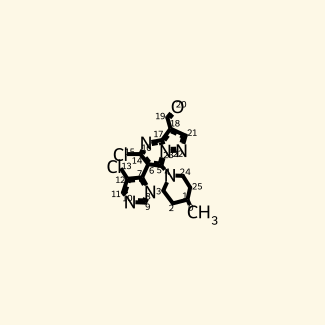 CC1CCN(c2c(-c3ncncc3Cl)c(Cl)nc3c(C=O)cnn23)CC1